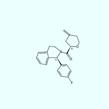 C=C1CCO[C@@H](C(=O)N2CCc3ccccc3[C@@H]2c2ccc(F)cc2)C1